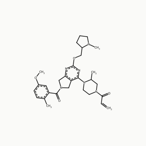 C=CC(=O)N1CCN(c2nc(OCC3CCCN3C)nc3c2CN(C(=O)c2cc(OC)ccc2C)C3)C(C)C1